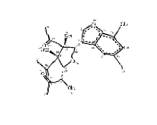 CC(=O)C(O)[C@H]1O[C@@H](n2cnc3c(Cl)nc(I)nc32)[C@@](O)(C(C)=O)[C@@]1(O)C(C)=O